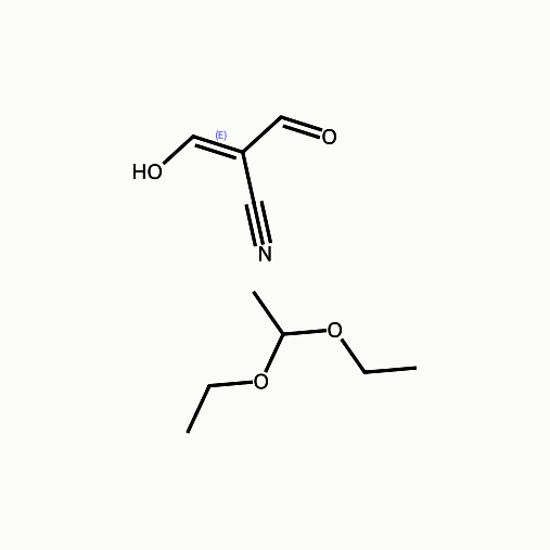 CCOC(C)OCC.N#C/C(C=O)=C\O